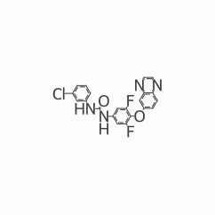 O=C(Nc1cccc(Cl)c1)Nc1cc(F)c(Oc2ccc3nccnc3c2)c(F)c1